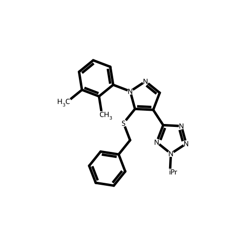 Cc1cccc(-n2ncc(-c3nnn(C(C)C)n3)c2SCc2ccccc2)c1C